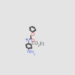 CCOC(=O)c1cc(N)ccc1N(C)C(=O)COc1ccccc1